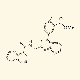 COC(=O)c1cc(-c2cc(CN[C@H](C)c3cccc4ccccc34)cc3ccccc23)ccc1C